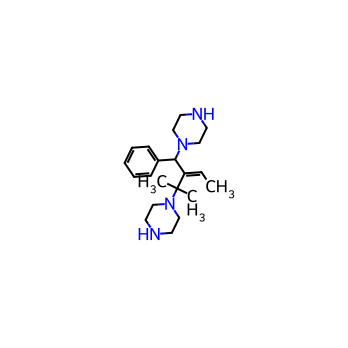 CC=C(C(c1ccccc1)N1CCNCC1)C(C)(C)N1CCNCC1